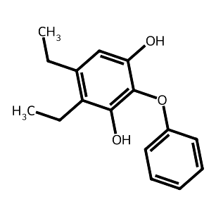 CCc1cc(O)c(Oc2ccccc2)c(O)c1CC